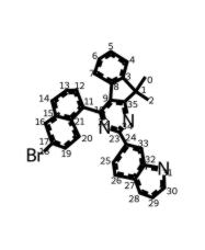 CC1(C)c2ccccc2-c2c(-c3cccc4cc(Br)ccc34)nc(-c3ccc4cccnc4c3)nc21